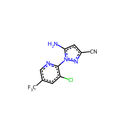 N#Cc1cc(N)n(-c2ncc(C(F)(F)F)cc2Cl)n1